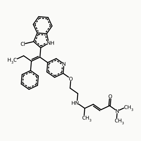 CC/C(=C(/c1ccc(OCCNC(C)/C=C/C(=O)N(C)C)nc1)c1[nH]c2ccccc2c1Cl)c1ccccc1